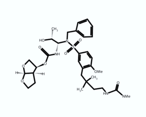 CNC(=O)NCCC(C)(C)Cc1cc(S(=O)(=O)N(Cc2ccccc2)[C@H](NC(=O)O[C@@H]2CO[C@@H]3OCC[C@@H]32)[C@@H](C)O)ccc1OC